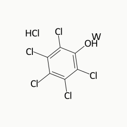 Cl.Oc1c(Cl)c(Cl)c(Cl)c(Cl)c1Cl.[W]